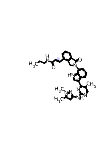 CCCNC(=O)/C=C/c1cccc2c1CN(c1cccc3c(-c4nc(Nc5cc(C)n(C)n5)ncc4C)c[nH]c13)C2=O